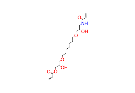 C=CC(=O)NCC(O)COCCCCCCCOCC(O)COC(=O)C=C